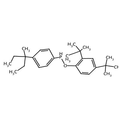 CCC(C)(CC)c1ccc(POc2ccc(C(C)(C)C)cc2C(C)(C)C)cc1